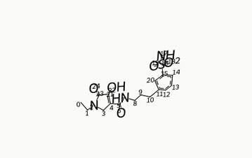 CCN1CC(C(=O)NCCCc2cccc(S(N)(=O)=O)c2)=C(O)C1=O